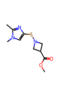 COC(=O)C1CN(Sc2cn(C)c(C)n2)C1